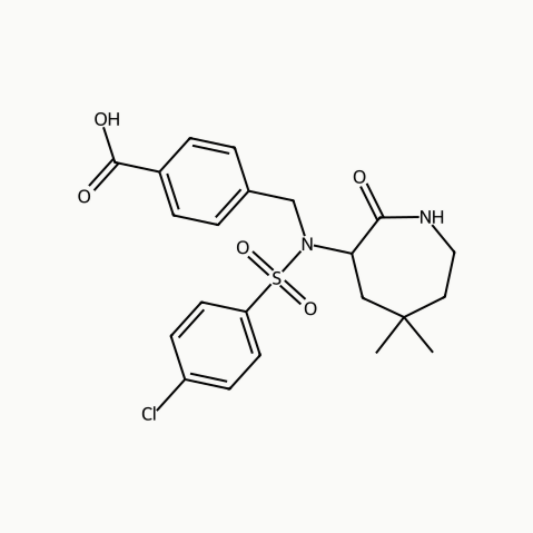 CC1(C)CCNC(=O)C(N(Cc2ccc(C(=O)O)cc2)S(=O)(=O)c2ccc(Cl)cc2)C1